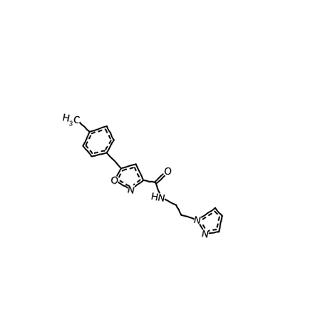 Cc1ccc(-c2cc(C(=O)NCCn3cccn3)no2)cc1